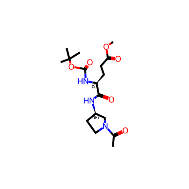 COC(=O)CC[C@H](NC(=O)OC(C)(C)C)C(=O)N[C@@H]1CCN(C(C)=O)C1